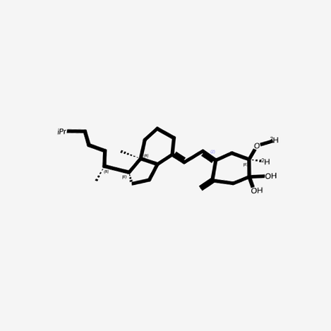 [2H]O[C@]1([2H])C/C(=C/C=C2CCC[C@@]3(C)C2CC[C@@H]3[C@H](C)CCCC(C)C)C(=C)CC1(O)O